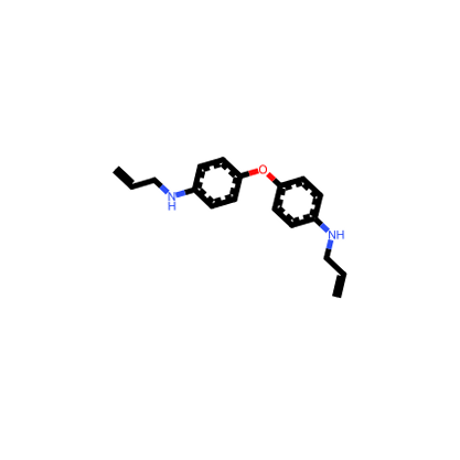 C=CCNc1ccc(Oc2ccc(NCC=C)cc2)cc1